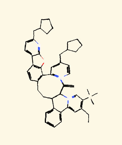 C=C1C2C(CCc3ccc4c(oc5nc(CC6CCCC6)ccc54)c3-c3cc(CC4CCCC4)cc[n+]31)c1ccccc1-c1cc(CC(C)C)c([Si](C)(C)C)c[n+]12